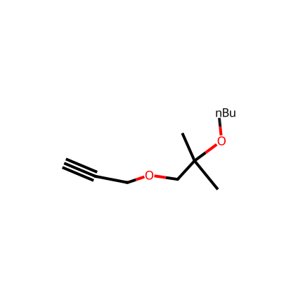 C#CCOCC(C)(C)OCCCC